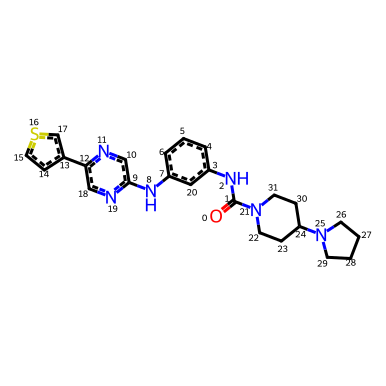 O=C(Nc1cccc(Nc2cnc(-c3ccsc3)cn2)c1)N1CCC(N2CCCC2)CC1